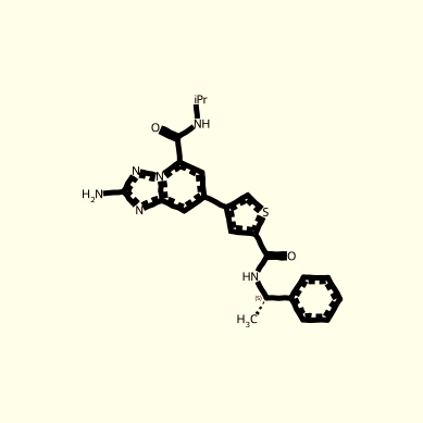 CC(C)NC(=O)c1cc(-c2csc(C(=O)N[C@@H](C)c3ccccc3)c2)cc2nc(N)nn12